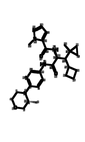 C[C@@H]1COCCN1c1ccc(NC(=O)[C@@H](NC(=O)c2ccnn2C)C(C2CCC2)C2(C)CC2)cn1